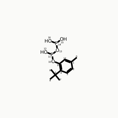 Cc1ccc(C(C)(C)C)c(OP(O)OP(O)O)c1